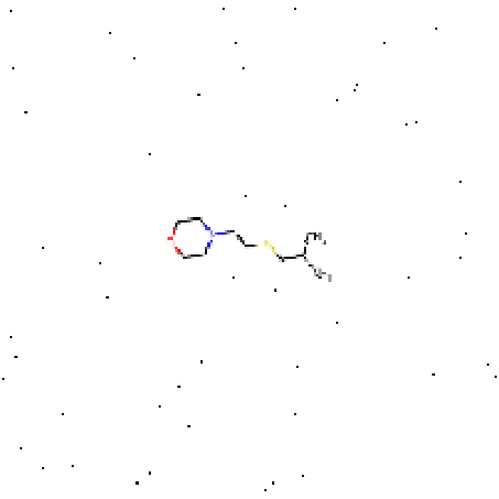 CC(C)CSCCN1CCOCC1